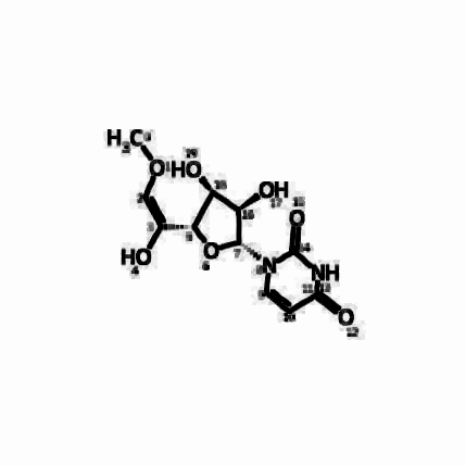 CO/C=C(/O)[C@H]1O[C@@H](n2ccc(=O)[nH]c2=O)[C@H](O)[C@@H]1O